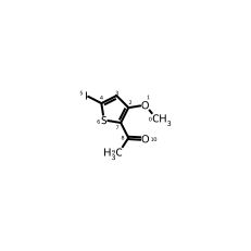 COc1cc(I)sc1C(C)=O